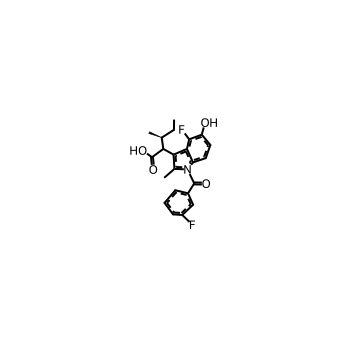 CC[C@H](C)C(C(=O)O)c1c(C)n(C(=O)c2cccc(F)c2)c2ccc(O)c(F)c12